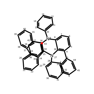 c1ccc(-c2cccc(N(c3ccccc3)c3ccc4ccccc4c3)c2N(c2ccccc2)c2ccc3ccccc3c2)cc1